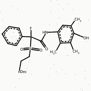 CCCCCCCCCCCCS(=O)(=O)C(F)(C(=O)Nc1cc(C)c(O)c(C)c1C)c1ccccc1